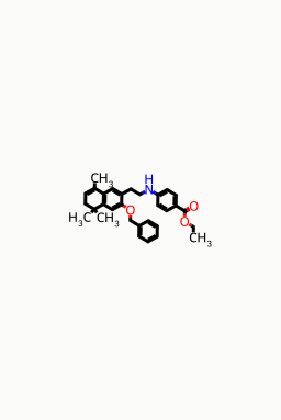 CCOC(=O)c1ccc(NCCc2cc3c(cc2OCc2ccccc2)C(C)(C)CC=C3C)cc1